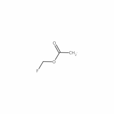 [CH2]C(=O)OCF